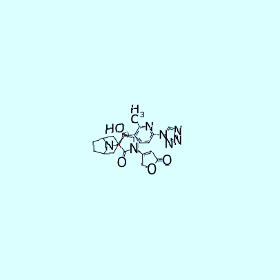 Cc1nc(-n2cnnn2)ccc1[C@H](O)CN1C2CCC1CC1(CCN(C3=CC(=O)OC3)C1=O)C2